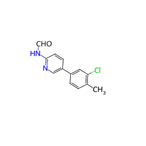 Cc1ccc(-c2ccc(NC=O)nc2)cc1Cl